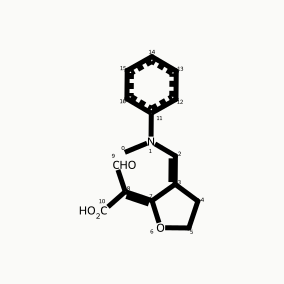 CN(/C=C1/CCO/C1=C(/C=O)C(=O)O)c1ccccc1